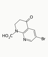 O=C1CCN(C(=O)O)c2ncc(Br)cc21